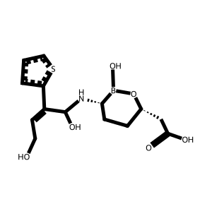 O=C(O)C[C@@H]1CC[C@H](NC(O)/C(=C\CO)c2cccs2)B(O)O1